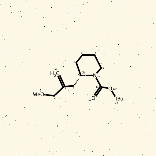 C=C(COC)C[C@@H]1CCCCN1C(=O)OC(C)(C)C